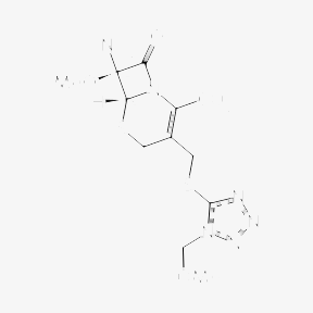 COCn1nnnc1SCC1=C(C(=O)O)N2C(=O)[C@](N)(OC)[C@H]2SC1